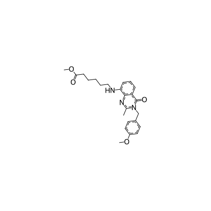 COC(=O)CCCCCNc1cccc2c(=O)n(Cc3ccc(OC)cc3)c(C)nc12